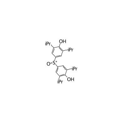 CC(C)c1cc([S+]([O-])c2cc(C(C)C)c(O)c(C(C)C)c2)cc(C(C)C)c1O